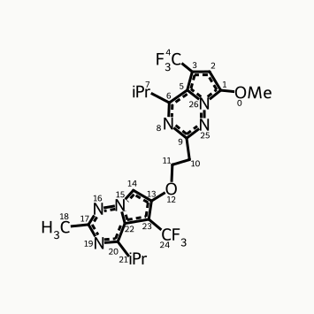 COc1cc(C(F)(F)F)c2c(C(C)C)nc(CCOc3cn4nc(C)nc(C(C)C)c4c3C(F)(F)F)nn12